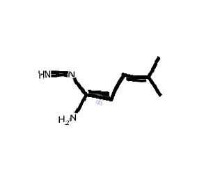 CC(C)=C/C=C(/N)N=N